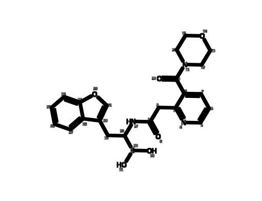 O=C(Cc1ncccc1C(=O)N1CCOCC1)NC(Cc1coc2ccccc12)B(O)O